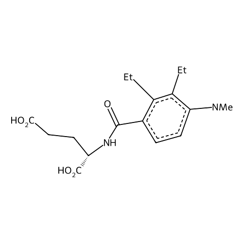 CCc1c(NC)ccc(C(=O)N[C@@H](CCC(=O)O)C(=O)O)c1CC